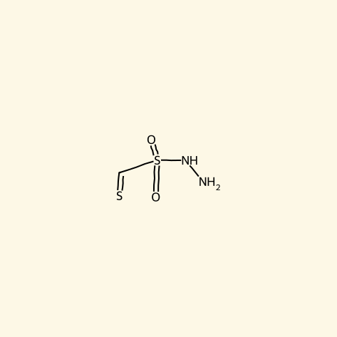 NNS(=O)(=O)C=S